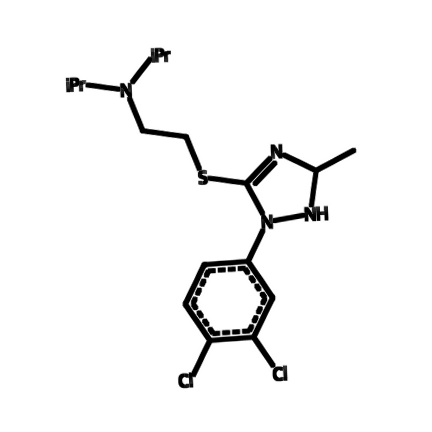 CC1N=C(SCCN(C(C)C)C(C)C)N(c2ccc(Cl)c(Cl)c2)N1